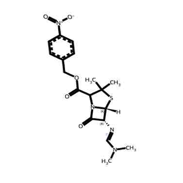 CN(C)/C=N/[C@@H]1C(=O)N2C(C(=O)OCc3ccc([N+](=O)[O-])cc3)C(C)(C)S[C@H]12